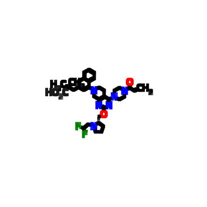 C=CC(=O)N1CCN(c2nc(OC[C@@H]3CCCN3CC(F)F)nc3c2CCN(c2cc(CC(C)(C)C(=O)O)cc4ccccc24)C3)CC1